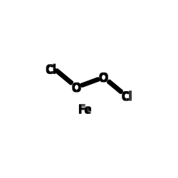 ClOOCl.[Fe]